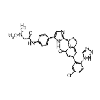 CN(C)CC(=O)Nc1ccc(-c2cnc(C3CCc4cc(-c5cc(Cl)ccc5-n5cnnn5)cc(=O)n43)[nH]2)cc1